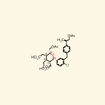 C=C(COC)c1ccc(Cc2cc([C@H]3O[C@@H](COC(C)=O)[C@H](CC(=O)O)[C@H](CC(=O)O)[C@@H]3CC(=O)O)ccc2Cl)cc1